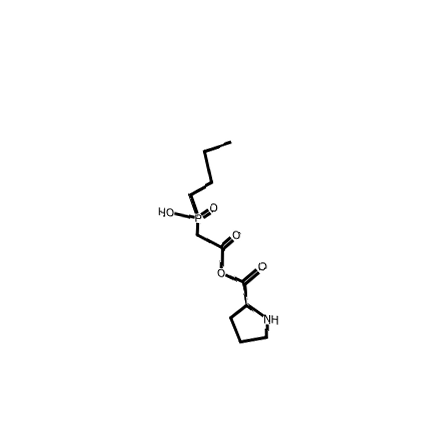 CCCCP(=O)(O)CC(=O)OC(=O)[C@@H]1CCCN1